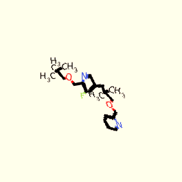 CC(C)(C)COCc1ncc(CC(C)(C)COCc2ccccn2)cc1F